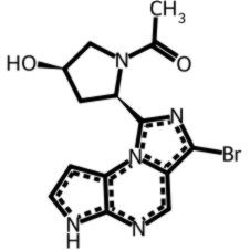 CC(=O)N1C[C@H](O)C[C@@H]1c1nc(Br)c2cnc3[nH]ccc3n12